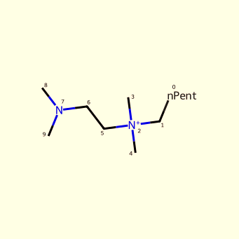 CCCCCC[N+](C)(C)CCN(C)C